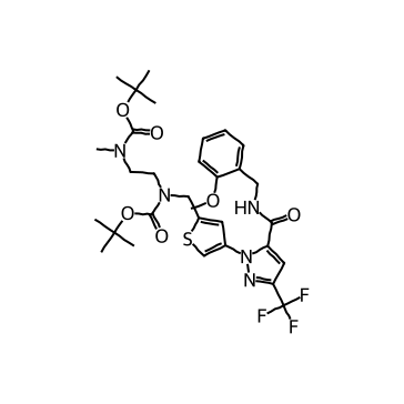 COc1ccccc1CNC(=O)c1cc(C(F)(F)F)nn1-c1csc(CN(CCN(C)C(=O)OC(C)(C)C)C(=O)OC(C)(C)C)c1